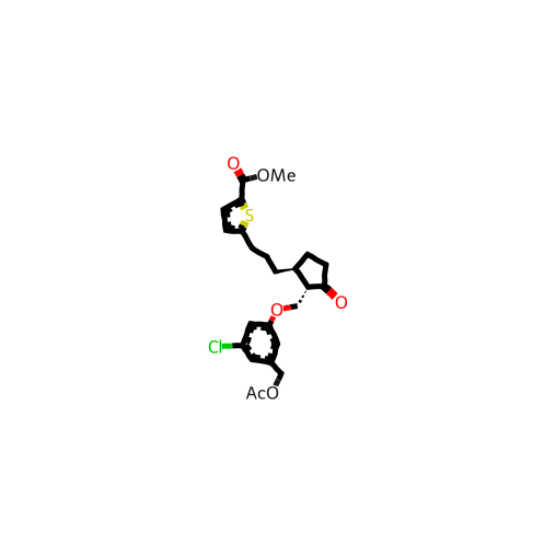 COC(=O)c1ccc(CCC[C@H]2CCC(=O)[C@@H]2COc2cc(Cl)cc(COC(C)=O)c2)s1